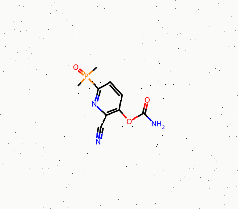 CP(C)(=O)c1ccc(OC(N)=O)c(C#N)n1